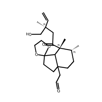 C=C[C@](C)(CO)CC(=O)[C@@]1(C)C2C(CC=O)(CC[C@H]1C)CCC21OCCO1